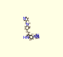 CN(Cc1cccnc1)[C@H]1CC[C@@H](CCc2c[nH]c3ccc(-n4cnnc4)cc23)CC1